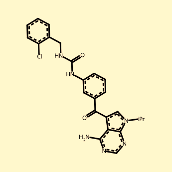 CC(C)n1cc(C(=O)c2cccc(NC(=O)NCc3ccccc3Cl)c2)c2c(N)ncnc21